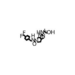 C[C@@H](CO)Nc1ncc2c(n1)CN(C(=O)NCc1ccc(C(F)F)cc1)CC2